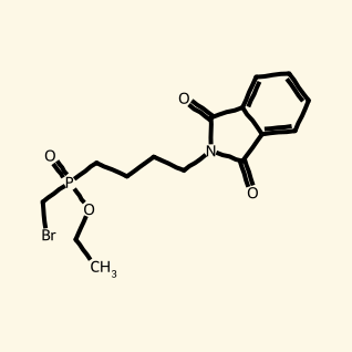 CCOP(=O)(CBr)CCCCN1C(=O)c2ccccc2C1=O